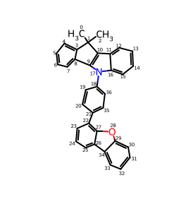 CC1(C)c2ccccc2-c2c1c1ccccc1n2-c1ccc(-c2cccc3c2oc2ccccc23)cc1